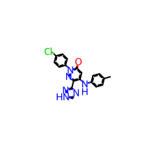 Cc1ccc(Nc2cc(=O)n(-c3ccc(Cl)cc3)nc2-c2nc[nH]n2)cc1